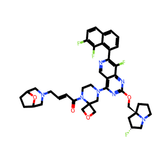 O=C(/C=C/CN1CC2CCC(C1)O2)N1CCN(c2nc(OC[C@@]34CCCN3C[C@H](F)C4)nc3c(F)c(-c4cccc5ccc(F)c(F)c45)ncc23)CC12COC2